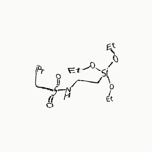 CCO[Si](CCNS(=O)(=O)CC(C)C)(OCC)OCC